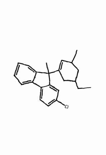 CCC1CC(C2(C)c3ccccc3-c3ccc(Cl)cc32)=CC(C)C1